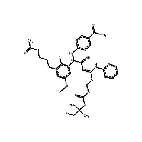 COc1cc(OCCOC(C)=O)c(F)c([C@@H](Nc2ccc(C(=N)N)cc2)C(=N)/N=C(\Nc2ncccn2)OCOC(=O)OC(C)(C)CF)c1